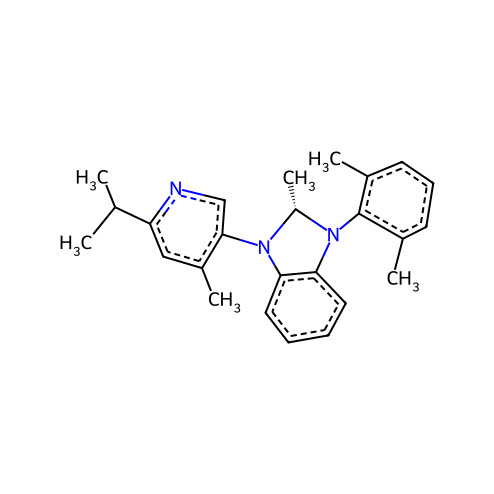 Cc1cc(C(C)C)ncc1N1c2ccccc2N(c2c(C)cccc2C)[C@H]1C